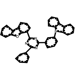 c1ccc(-c2nc(-c3cccc(-n4c5ccccc5c5ccccc54)c3)nc(-c3cccc4c3oc3ccccc34)n2)cc1